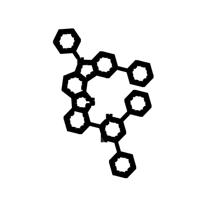 c1ccc(-c2ccc3c(c2)c2c4sc5c(-c6nc(-c7ccccc7)cc(-c7ccccc7)n6)cccc5c4ccc2n3-c2ccccc2)cc1